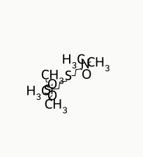 CCO[Si](C)(CCCSCCC(=O)N(C)C)OCC